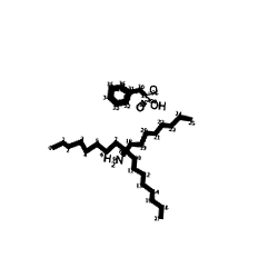 CCCCCCCCC(N)(CCCCCCCC)CCCCCCCC.O=S(=O)(O)Cc1ccccc1